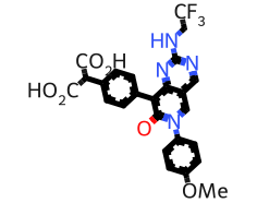 COc1ccc(-n2cc3cnc(NCC(F)(F)F)nc3c(-c3ccc(C(C(=O)O)C(=O)O)cc3)c2=O)cc1